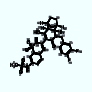 CS(=O)(=O)Nc1ccc2c(c1)S(=O)(=O)NC(C1=C(O)[C@@H]3[C@@H]4CC[C@@H](C4)[C@@H]3N(Cc3ccc(F)c(F)c3)C1=O)=N2